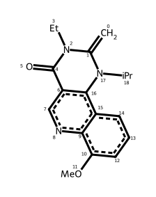 C=C1N(CC)C(=O)c2cnc3c(OC)cccc3c2N1C(C)C